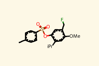 COc1cc(C(C)C)c(OS(=O)(=O)c2ccc(C)cc2)cc1CF